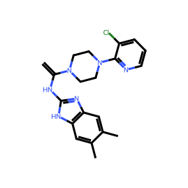 C=C(Nc1nc2cc(C)c(C)cc2[nH]1)N1CCN(c2ncccc2Cl)CC1